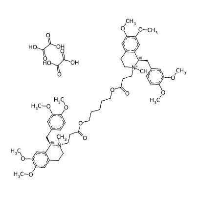 COc1ccc(C[C@@H]2c3cc(OC)c(OC)cc3CC[N+]2(C)CCC(=O)OCCCCCOC(=O)CC[N+]2(C)CCc3cc(OC)c(OC)cc3[C@H]2Cc2ccc(OC)c(OC)c2)cc1OC.O=C(O)C(=O)O.O=C(O)C(=O)O